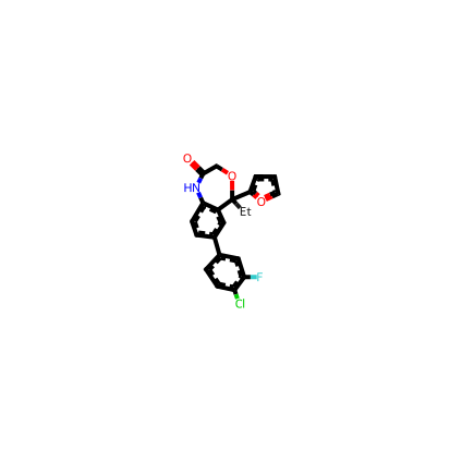 CCC1(c2ccco2)OCC(=O)Nc2ccc(-c3ccc(Cl)c(F)c3)cc21